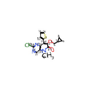 Cn1c(=O)c(OCC2CC2)c(-c2cccs2)c2nc(Cl)ncc21